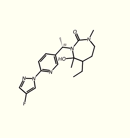 CCC1CCN(C)C(=O)N([C@@H](C)c2ccc(-n3cc(F)cn3)nc2)C1(C)O